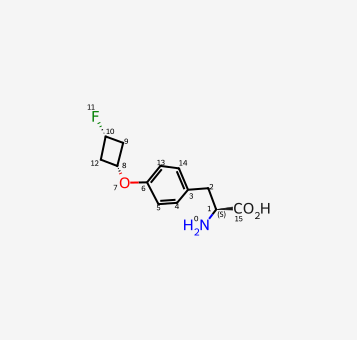 N[C@@H](Cc1ccc(O[C@H]2C[C@@H](F)C2)cc1)C(=O)O